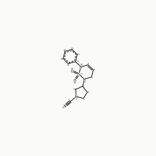 N#CN1CCC(N2CC=CN(c3ccccc3)S2(=O)=O)C1